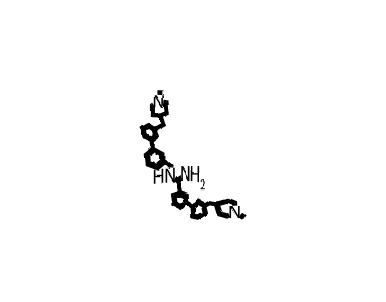 CN1CCC(Cc2cccc(-c3cccc(CNC(N)c4cccc(-c5cccc(CC6CCN(C)CC6)c5)c4)c3)c2)CC1